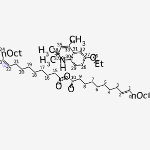 CCCCCCCCC=CCCCCCCCC(=O)OC(=O)CCCCCCC/C=C\CCCCCCCC.CCOc1ccc2c(c1)C(C)=CC(C)(C)N2